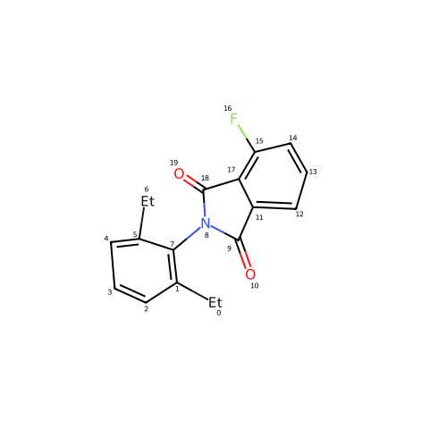 CCc1cccc(CC)c1N1C(=O)c2cccc(F)c2C1=O